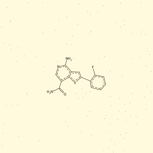 NC(=O)c1cnc(N)c2cc(-c3ccccc3F)sc12